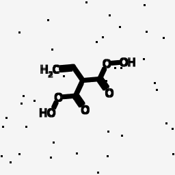 C=CC(C(=O)OO)C(=O)OO